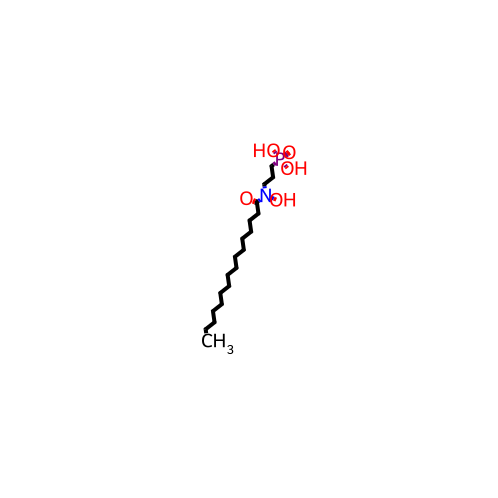 CCCCCCCCCCCCCCCC(=O)N(O)CCCP(=O)(O)O